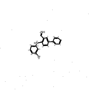 N=Cc1cc(-c2ccccc2)ccc1Nc1cccc(Br)c1